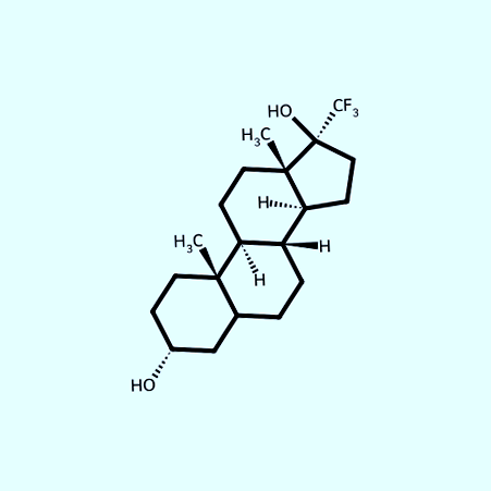 C[C@]12CC[C@@H](O)CC1CC[C@@H]1[C@@H]2CC[C@@]2(C)[C@H]1CC[C@@]2(O)C(F)(F)F